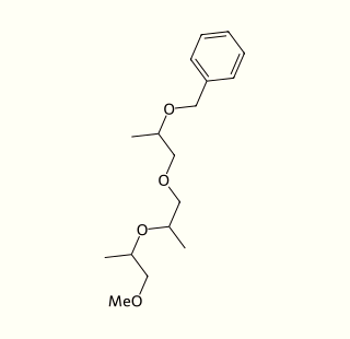 COCC(C)OC(C)COCC(C)OCc1ccccc1